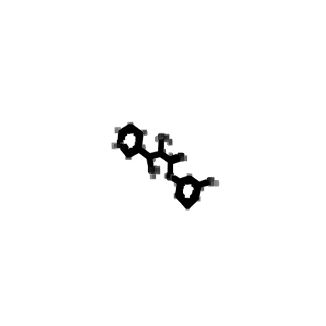 CC(C(=O)Oc1cccc(Cl)c1)C(O)c1cccnc1